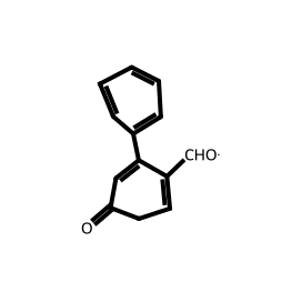 O=[C]C1=CCC(=O)C=C1c1ccccc1